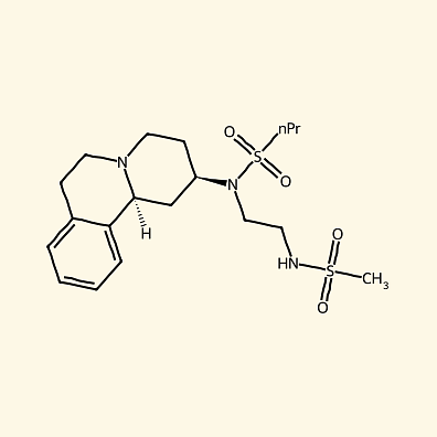 CCCS(=O)(=O)N(CCNS(C)(=O)=O)[C@@H]1CCN2CCc3ccccc3[C@@H]2C1